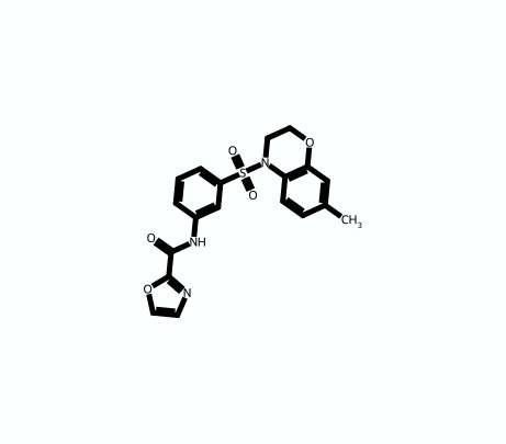 Cc1ccc2c(c1)OCCN2S(=O)(=O)c1cccc(NC(=O)c2ncco2)c1